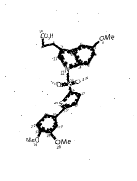 COc1ccc2c(c1)c(CCC(=O)O)cn2S(=O)(=O)c1ccc(-c2ccc(OC)c(OC)c2)s1